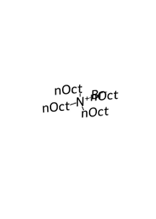 CCCCCCCC[N+](CCCCCCCC)(CCCCCCCC)CCCCCCCC.[Br-]